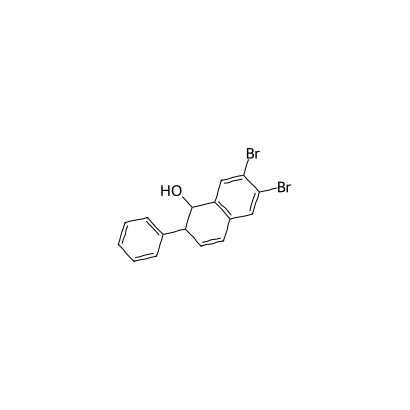 OC1c2cc(Br)c(Br)cc2C=CC1c1ccccc1